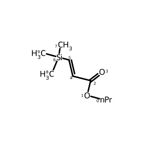 CCCOC(=O)C=C[Si](C)(C)C